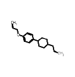 C=CCOc1ccc(C2CCC(CCC)CC2)cc1